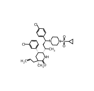 C=CC[C@@]1(C)C[C@H](c2cccc(Cl)c2)[C@H](C(C)C[C@@H](c2ccc(Cl)cc2)N2CCN(S(=O)(=O)C3CC3)CC2)NC1=O